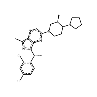 Cc1nn([C@H](C)c2ccc(Cl)cc2Cl)c2nc(N3CCC(N4CCCC4)[C@H](C)C3)cnc12